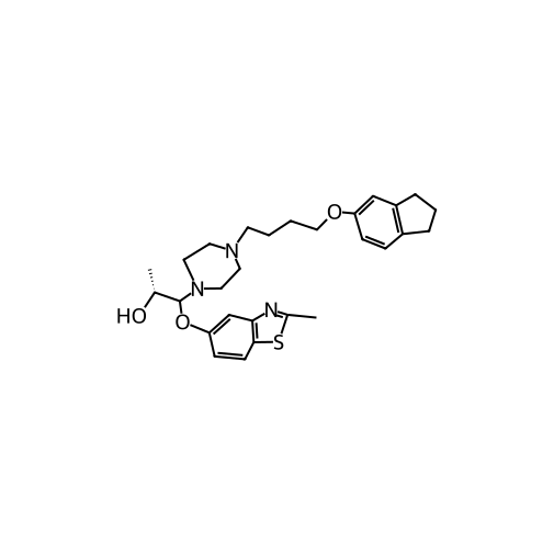 Cc1nc2cc(OC([C@@H](C)O)N3CCN(CCCCOc4ccc5c(c4)CCC5)CC3)ccc2s1